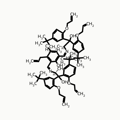 C=CCOc1ccc(C(C)(C)C)cc1C(O)(c1cc(C(C)(C)C)ccc1OCC=C)[C@@H](C)N=Cc1cc(C)c(CC=C)c(C=N[C@H](C)C(O)(c2cc(C(C)(C)C)ccc2OCC=C)c2cc(C(C)(C)C)ccc2OCC=C)c1O